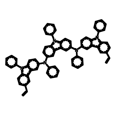 C=Cc1ccc2c(c1)c1cc(N(c3ccccc3)c3ccc4c(c3)c3cc(N(c5ccccc5)c5ccc6c(c5)c5cc(C=C)ccc5n6-c5ccccc5)ccc3n4-c3ccccc3)ccc1n2-c1ccccc1